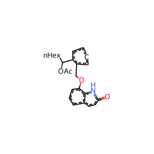 CCCCCCC(OC(C)=O)c1ccccc1COc1cccc2ccc(=O)[nH]c12